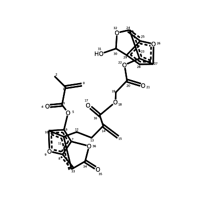 C=C(C)C(=O)Oc1c2c3oc1c(CCC(=C)C(=O)OCC(=O)Oc1c4c5oc1cc5C(O)O4)c3C(=O)O2